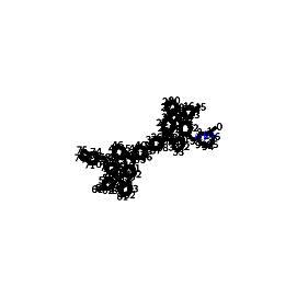 C/C1=C\C=C(\Cc2ccc(C3(c4ccc(C)cc4)c4ccccc4-c4ccc(N(C5=CC=CCC5)c5ccc(-c6ccc(N(c7ccccc7)c7ccc8c(c7)C(c7ccc(C)cc7)(c7ccc(Cc9ccc%10c(c9)CC%10)cc7)c7ccccc7-8)cc6)cc5)cc43)cc2)C=CCC1